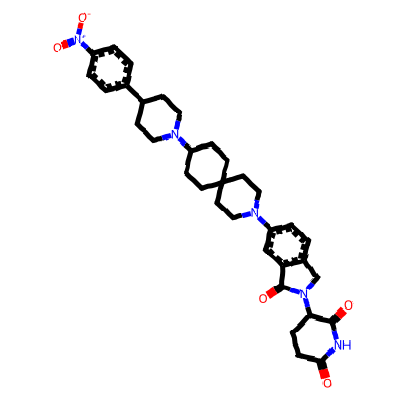 O=C1CCC(N2Cc3ccc(N4CCC5(CCC(N6CCC(c7ccc([N+](=O)[O-])cc7)CC6)CC5)CC4)cc3C2=O)C(=O)N1